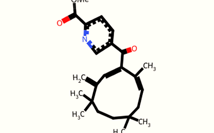 C=C1/C=C(C(=O)c2ccc(C(=O)OC)nc2)\C(C)=C/CC(C)(C)CCC1(C)C